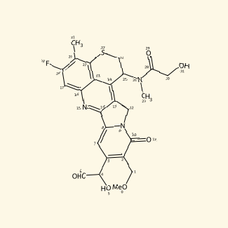 COCc1c(C(O)C=O)cc2n(c1=O)Cc1c-2nc2cc(F)c(C)c3c2c1C(N(C)C(=O)CO)CS3